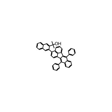 CC(C)(O)c1cc2ccccc2cc1-c1ccc2c3c(cccc13)-c1c-2c(-c2ccccc2)c2ccccc2c1-c1ccccc1